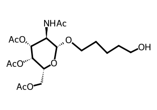 CC(=O)N[C@H]1[C@H](OCCCCCO)O[C@H](COC(C)=O)[C@H](OC(C)=O)[C@@H]1OC(C)=O